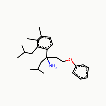 Cc1ccc(C(N)(CCOc2ccccc2)CC(C)C)c(CC(C)C)c1C